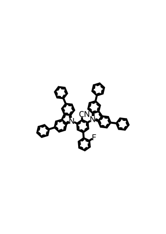 N#Cc1c(-n2c3ccc(-c4ccccc4)cc3c3cc(-c4ccccc4)ccc32)cc(-c2ccccc2F)cc1-n1c2ccc(-c3ccccc3)cc2c2cc(-c3ccccc3)ccc21